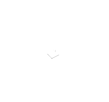 O[CH2][Ti].[AlH3].[CaH2]